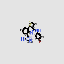 Brc1ccc(Nc2nc3c(-c4nnc[nH]4)cccc3c3sccc23)cc1